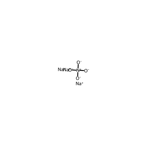 [Na+].[Na+].[Na+].[O-][N+]([O-])([O-])[O-]